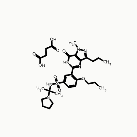 CCCOc1ccc(S(=O)(=O)NC(C)(C)N2CCCC2)cc1-c1nc2c(CCC)nn(C)c2c(=O)[nH]1.O=C(O)CCC(=O)O